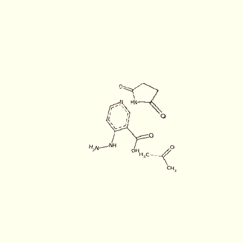 CC(C)=O.NNc1ccncc1C(=O)O.O=C1CCC(=O)N1